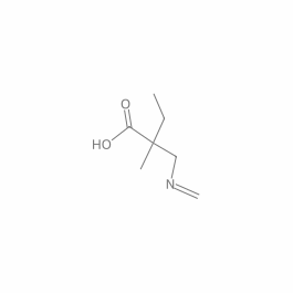 C=NCC(C)(CC)C(=O)O